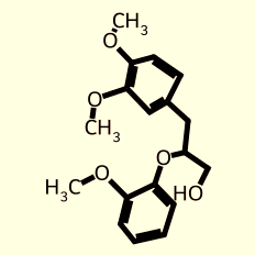 COc1ccc(CC(CO)Oc2ccccc2OC)cc1OC